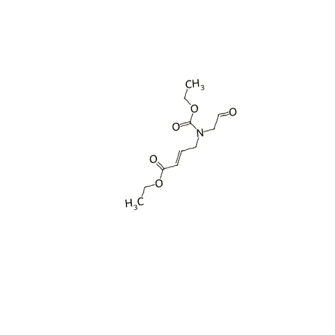 CCOC(=O)C=CCN(CC=O)C(=O)OCC